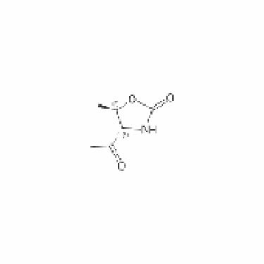 CC(=O)[C@H]1NC(=O)O[C@@H]1C